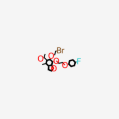 CC(=O)c1c(OCCBr)c(OCCOc2ccc(F)cc2)c2occc2c1C